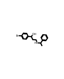 CC(NCCC(O)c1ccc(Br)cc1)c1ccccc1